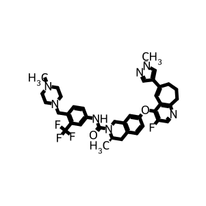 C[C@@H]1Cc2ccc(Oc3c(F)cnc4c3C=C(c3cnn(C)c3)CCC4)cc2CN1C(=O)Nc1ccc(CN2CCN(C)CC2)c(C(F)(F)F)c1